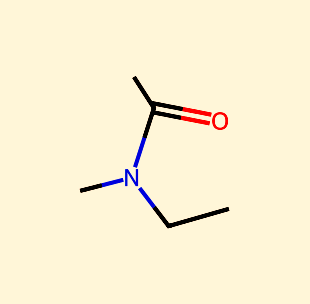 CCN(C)C(C)=O